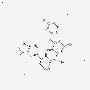 CCCC[C@H](C(=O)N[C@@H](CC(=O)O)c1ccc2c(c1)OCO2)n1cc(C)cc(Cc2cccc(Cl)c2)c1=O